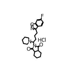 Cl.O=C1C2CCCCC2C(=O)N1C(CCCc1noc2cc(F)ccc12)N1CCCCC1